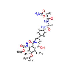 COc1cc(C(=O)N2C=C(c3ccc(NC(=O)C(C)NC(=O)C(OC(N)=O)C(C)C)cc3)CC2CO)c(NC(=O)OC(C)(C)C)cc1O[Si](C(C)C)(C(C)C)C(C)C